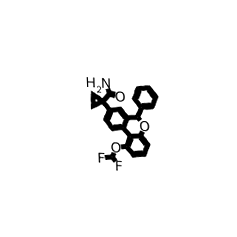 NC(=O)C1(c2ccc3c(c2)C(c2ccccc2)Oc2cccc(OC(F)F)c2-3)CC1